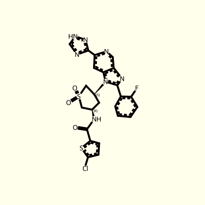 O=C(N[C@@H]1C[C@H](n2c(-c3ccccc3F)nc3cnc(-c4nc[nH]n4)cc32)CS(=O)(=O)C1)c1ccc(Cl)s1